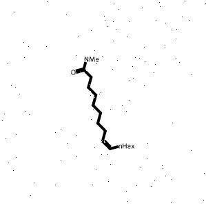 CCCCCC/C=C\CCCCCCCC(=O)NC